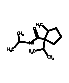 CC(C)NC(=O)C1(C(C)C)CCCC1C